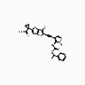 CC(OC(=O)Nc1c(C#Cc2sc3cc(C4(C(=O)O)CC4)sc3c2Cl)cnn1C)c1ccccc1